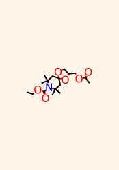 CCOC(=O)N1C(C)(C)CC2(CC1(C)C)OCC(COC(C)=O)O2